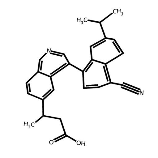 CC(C)c1ccc2c(C#N)ccc(-c3cncc4ccc(C(C)CC(=O)O)cc34)c2c1